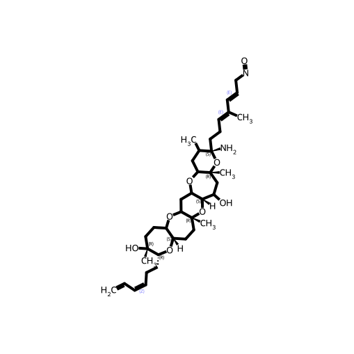 C=C/C=C\CC[C@H]1O[C@H]2CC[C@@]3(C)O[C@H]4C(O)C[C@@]5(C)O[C@@](N)(CC/C=C(C)/C=C/CN=O)C(C)CC5OC4CC3OC2CC[C@@]1(C)O